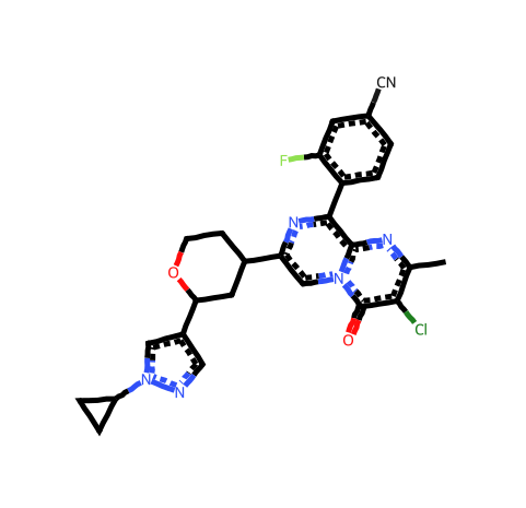 Cc1nc2c(-c3ccc(C#N)cc3F)nc(C3CCOC(c4cnn(C5CC5)c4)C3)cn2c(=O)c1Cl